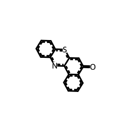 O=c1cc2sc3ccccc3nc-2c2ccccc12